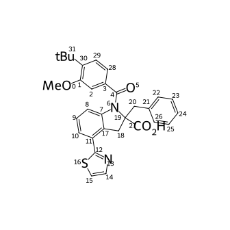 COc1cc(C(=O)N2c3cccc(-c4nccs4)c3CC2(Cc2ccccc2)C(=O)O)ccc1C(C)(C)C